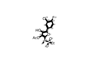 CCS(=O)(=O)N(C)c1oc(-c2ccc(F)c(Cl)c2)c(O)c1OC(C)=O